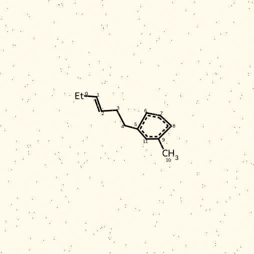 CC/C=C/CCc1cccc(C)c1